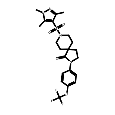 Cc1nn(C)c(C)c1S(=O)(=O)N1CCC2(CCN(c3ccc(OC(F)(F)F)cc3)C2=O)CC1